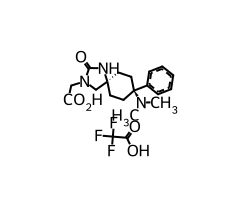 CN(C)[C@]1(c2ccccc2)CC[C@]2(CC1)CN(CC(=O)O)C(=O)N2.O=C(O)C(F)(F)F